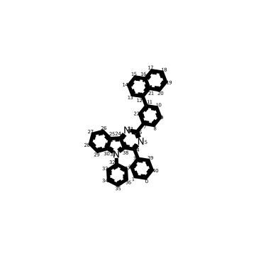 c1ccc(-c2nc(-c3cccc(-c4cccc5ccccc45)c3)nc3c4ccccc4n(-c4ccccc4)c23)cc1